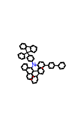 c1ccc(-c2ccc(-c3ccc(N(c4ccc(C5(c6ccccc6)c6ccccc6-c6ccccc65)cc4)c4c(-c5ccccc5-c5ccccc5)c5ccccc5c5ccccc45)cc3)cc2)cc1